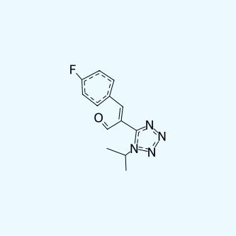 CC(C)n1nnnc1C(C=O)=Cc1ccc(F)cc1